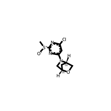 C[S+]([O-])c1nc(Cl)cc(N2C[C@@H]3C[C@H]2CO3)n1